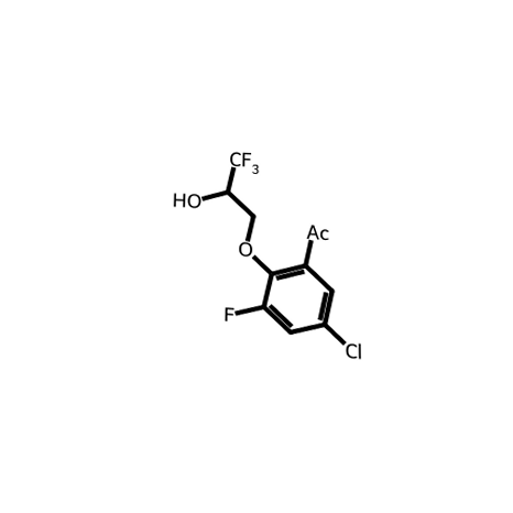 CC(=O)c1cc(Cl)cc(F)c1OCC(O)C(F)(F)F